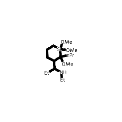 CCCC1(OC)C(C(CC)NCC)CCC[Si]1(OC)OC